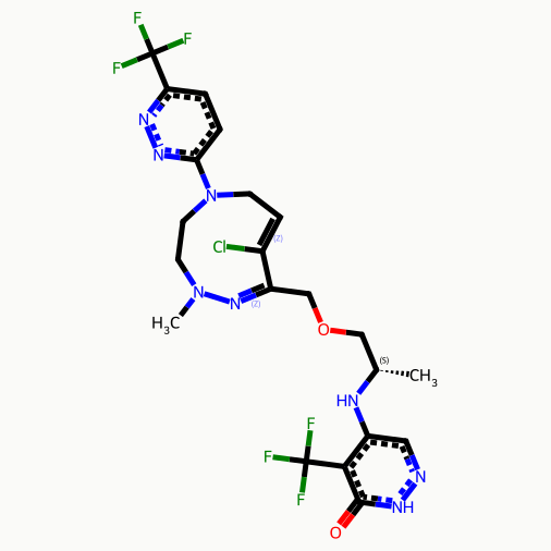 C[C@@H](COCC1=N/N(C)CCN(c2ccc(C(F)(F)F)nn2)C\C=C\1Cl)Nc1cn[nH]c(=O)c1C(F)(F)F